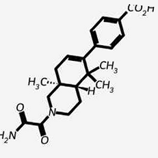 CC1(C)C(c2ccc(C(=O)O)cc2)=CC[C@]2(C)CN(C(=O)C(N)=O)CC[C@@H]12